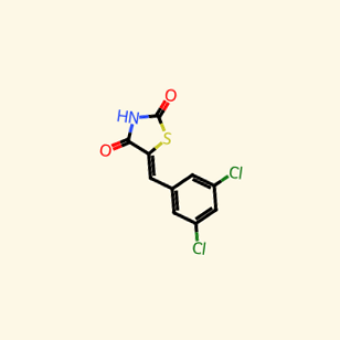 O=C1NC(=O)C(=Cc2cc(Cl)cc(Cl)c2)S1